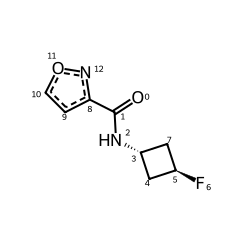 O=C(N[C@H]1C[C@H](F)C1)c1ccon1